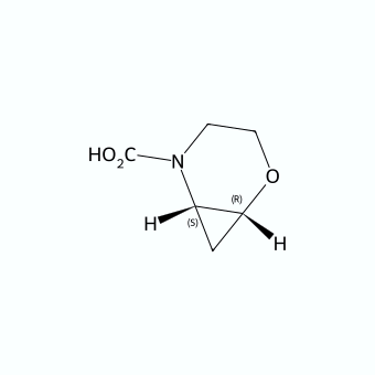 O=C(O)N1CCO[C@@H]2C[C@@H]21